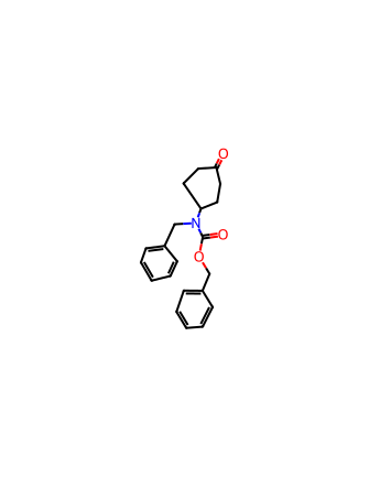 O=C1CCC(N(Cc2ccccc2)C(=O)OCc2ccccc2)CC1